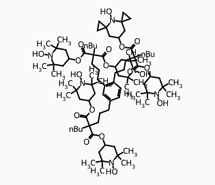 CCCCC(CCCc1ccc(CCCC(CCCC)(C(=O)OC2CC(C)(C)N(O)C(C)(C)C2)C(=O)OC2CC3(CC3)N(O)C3(CC3)C2)c(CCCC(CCCC)(C(=O)OC2CC(C)(C)N(O)C(C)(C)C2)C(=O)OC2CC(C)(C)N(O)C(C)(C)C2)c1)(C(=O)OC1CC(C)(C)N(O)C(C)(C)C1)C(=O)OC1CC(C)(C)N(O)C(C)(C)C1